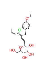 C\C=C/C(Cl)=C(\C=C\[C@@H]1O[C@H](CO)[C@@H](O)[C@H](O)[C@H]1O)Cc1ccc(OCC)cc1